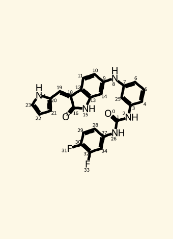 O=C(Nc1cccc(Nc2ccc3c(c2)NC(=O)/C3=C\c2ccc[nH]2)c1)Nc1ccc(F)c(F)c1